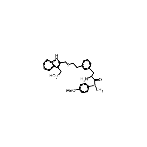 COc1ccc(N(C)C(=O)C(N)Cc2cccc(CCSCc3[nH]c4ccccc4c3CC(=O)O)c2)cc1